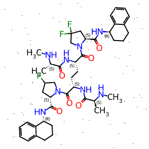 CN[C@@H](C)C(=O)N[C@@H](CC[C@H](NC(=O)[C@H](C)NC)C(=O)N1CC(F)(F)C[C@H]1C(=O)N[C@@H]1CCCc2ccccc21)C(=O)N1CC(F)C[C@H]1C(=O)N[C@@H]1CCCc2ccccc21